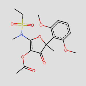 CCS(=O)(=O)N(C)C1=C(OC(C)=O)C(=O)C(C)(c2c(OC)cccc2OC)O1